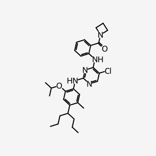 CCCC(CCC)c1cc(OC(C)C)c(Nc2ncc(Cl)c(Nc3ccccc3C(=O)N3CCC3)n2)cc1C